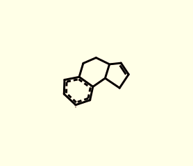 [c]1ccc2c(c1)C1CC=CC1CC2